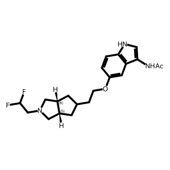 CC(=O)Nc1c[nH]c2ccc(OCCC3C[C@@H]4CN(CC(F)F)C[C@@H]4C3)cc12